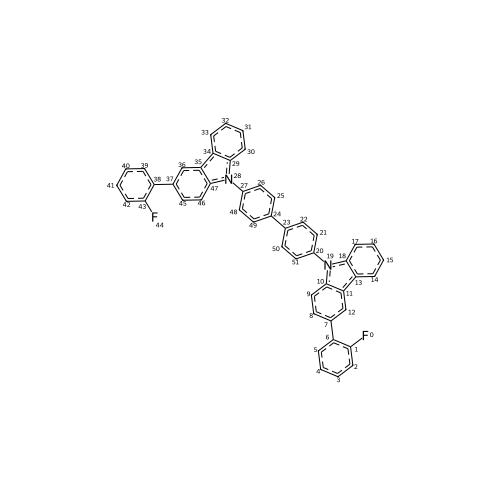 Fc1ccccc1-c1ccc2c(c1)c1ccccc1n2-c1ccc(-c2ccc(-n3c4ccccc4c4cc(-c5ccccc5F)ccc43)cc2)cc1